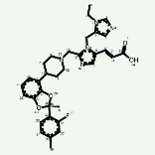 CCn1cncc1Cn1c(/C=C/C(=O)O)cnc1CN1CCC(c2cccc3c2O[C@](C)(c2ccc(C)cc2F)O3)CC1